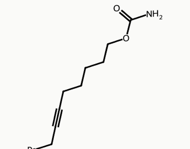 NC(=O)OCCCCCC#CCBr